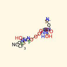 Cc1ncsc1-c1ccc(CNC(=O)[C@@H]2C[C@@H](O)CN2C(=O)[C@@H](NC(=O)COCCOCCCOc2ncc(N3C(=S)N(c4ccc(C#N)c(C(F)(F)F)c4F)C(O)C3(C)C)cc2F)C(C)(C)C)cc1